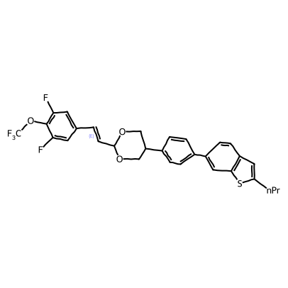 CCCc1cc2ccc(-c3ccc(C4COC(/C=C/c5cc(F)c(OC(F)(F)F)c(F)c5)OC4)cc3)cc2s1